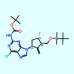 C=C1[C@H](CO[Si](C)(C)C(C)(C)C)[C@@H](C)C[C@@H]1n1cnc2c(Cl)nc(NC(=O)OC(C)(C)C)nc21